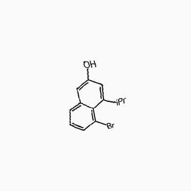 CC(C)c1cc(O)cc2cccc(Br)c12